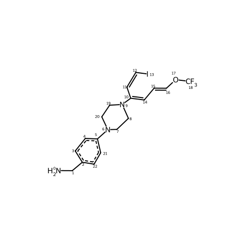 NCc1ccc(N2CCN(C(/C=C\I)=C/C=C/OC(F)(F)F)CC2)cc1